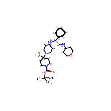 CC(C)(C)OC(=O)N1CCC(C)(N2CCC(N[C@@H](CNC3CCOCC3)c3ccccc3)CC2)CC1